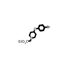 CCOC(=O)CN1CCC(Oc2ccc(Br)cc2)CC1